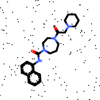 O=C(CN1CCCCC1)N1CCCN(C(=O)Nc2cccc3ccccc23)CC1